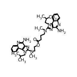 CC(C)Cn1c(N(C)CCCC(=O)OCCN(C)c2nc3c(N)nc4ccccc4c3n2CC(C)C)nc2c(N)nc3ccccc3c21